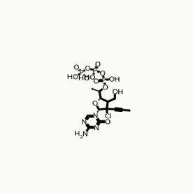 CC#CC1(Cl)C(CO)[C@@H]([C@@H](C)OP(=O)(O)OP(=O)(O)OP(=O)(O)O)O[C@H]1n1cnc(N)nc1=O